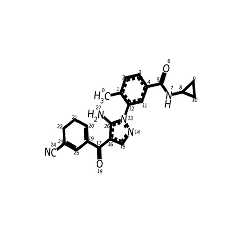 Cc1ccc(C(=O)NC2CC2)cc1-n1ncc(C(=O)C2=CCCC(C#N)=C2)c1N